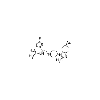 C=C(C)N[C@@H](CCN1CCC(n2c(C)nc3c2CCN(C(C)=O)CC3)CC1)c1ccc(F)s1